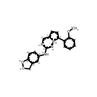 COc1ccccc1-c1ccc2cnc(Nc3ccc4c(c3)COO4)nn12